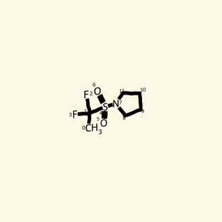 CC(F)(F)S(=O)(=O)N1CCCC1